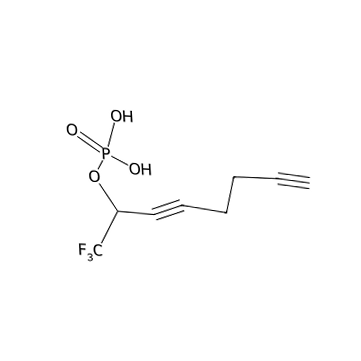 C#CCCC#CC(OP(=O)(O)O)C(F)(F)F